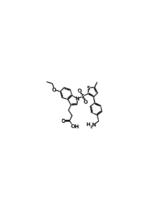 CCOc1ccc2c(c1)c(CCC(=O)O)cn2S(=O)(=O)c1sc(C)cc1-c1ccc(CN)cc1